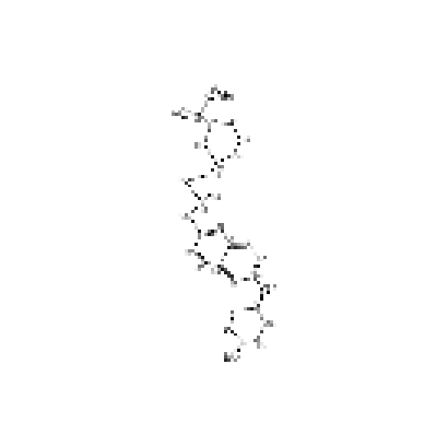 CC[C@H]1CC[C@@H](Oc2ccc3cc(CN4CC(C5CCCC(C(=O)OC)C5)C4)ccc3c2)CC1